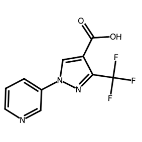 O=C(O)c1cn(-c2cccnc2)nc1C(F)(F)F